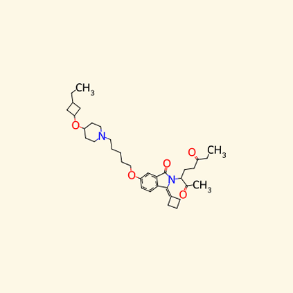 CCC(=O)CCC(C(C)=O)N1C(=O)c2cc(OCCCCCN3CCC(OC4CC(CC)C4)CC3)ccc2C1=C1CCC1